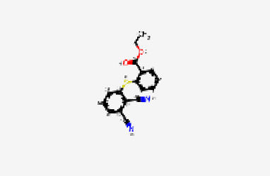 CCOC(=O)c1ccccc1Sc1cccc(C#N)c1C#N